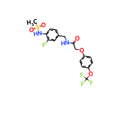 CS(=O)(=O)Nc1ccc(CNC(=O)COc2ccc(OC(F)(F)F)cc2)cc1F